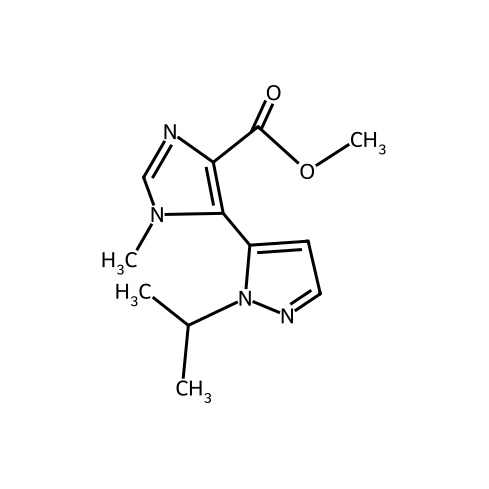 COC(=O)c1ncn(C)c1-c1ccnn1C(C)C